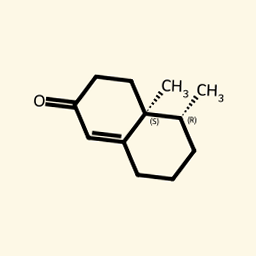 C[C@@H]1CCCC2=CC(=O)CC[C@]21C